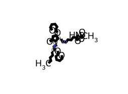 CCCCC[C@@H](/C=C/[C@H]1C(=O)C[C@H](OC2CCCCO2)[C@@H]1C/C=C\CCCC(=O)NS(C)(=O)=O)OC1CCCCO1